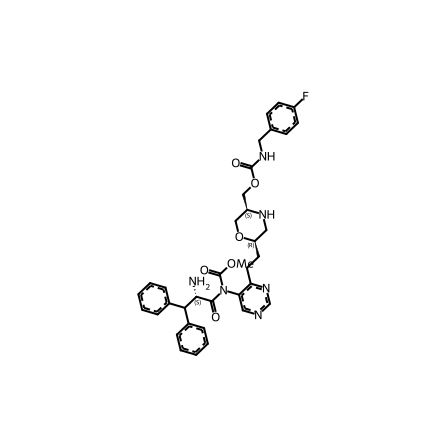 COC(=O)N(C(=O)[C@@H](N)C(c1ccccc1)c1ccccc1)c1cncnc1CC[C@@H]1CN[C@H](COC(=O)NCc2ccc(F)cc2)CO1